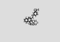 CCCCOc1c(C)c(CSc2cccc(O)c2)nc2ccccc12